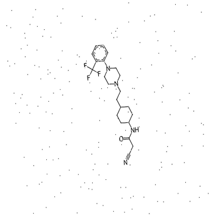 N#CCC(=O)NC1CCC(CCN2CCN(c3ccccc3C(F)(F)F)CC2)CC1